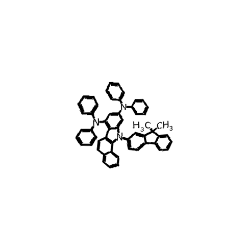 CC1(C)c2ccccc2-c2ccc(-n3c4cc(N(c5ccccc5)c5ccccc5)cc(N(c5ccccc5)c5ccccc5)c4c4ccc5ccccc5c43)cc21